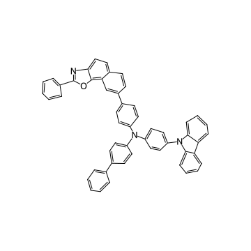 c1ccc(-c2ccc(N(c3ccc(-c4ccc5ccc6nc(-c7ccccc7)oc6c5c4)cc3)c3ccc(-n4c5ccccc5c5ccccc54)cc3)cc2)cc1